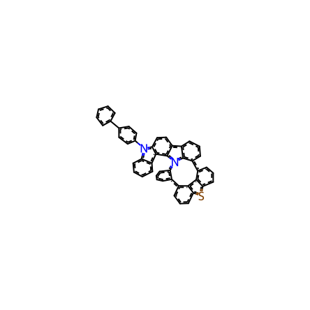 c1ccc(-c2ccc(-n3c4ccccc4c4c3ccc3c5cccc6c7cccc8sc9cccc(c%10ccccc%10n(c65)c34)c9c87)cc2)cc1